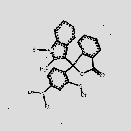 CCOc1cc(N(CC)CC)ccc1C1(c2c(C)n(CC)c3ccccc23)OC(=O)c2ccccc21